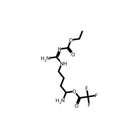 CCOC(=O)N=C(N)NCCCC(N)OC(=O)C(F)(F)F